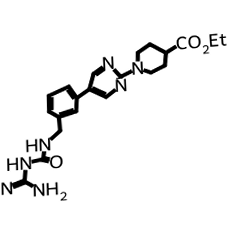 CCOC(=O)C1CCN(c2ncc(-c3cccc(CNC(=O)NC(=N)N)c3)cn2)CC1